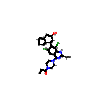 C=CC(=O)N1CCN(c2nc(NC)nc3c(F)c(-c4cc(O)cc5ccccc45)c(Cl)cc23)CC1